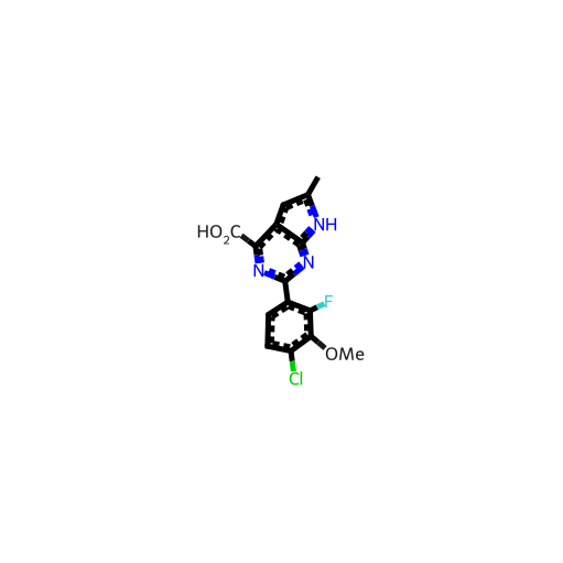 COc1c(Cl)ccc(-c2nc(C(=O)O)c3cc(C)[nH]c3n2)c1F